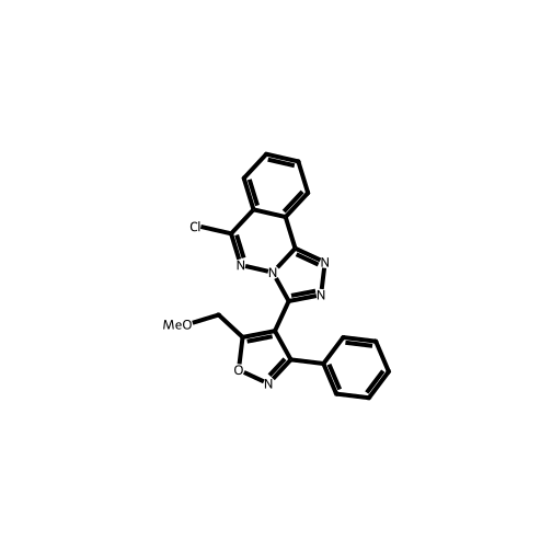 COCc1onc(-c2ccccc2)c1-c1nnc2c3ccccc3c(Cl)nn12